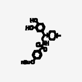 CCCCOc1ccc(S(=O)(=O)NCC(c2ccc(O)c(O)c2)N2CCN(C)CC2)cc1